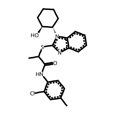 Cc1ccc(NC(=O)C(C)Sc2nc3ccccc3n2[C@H]2CCCC[C@@H]2O)c(Cl)c1